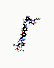 COC(=O)N[C@H](C(=O)N1CCC[C@H]1c1ncc(-c2ccc3c(c2)oc2cc(-c4cnc([C@@H]5[C@H]6CC[C@H](C6)N5C(=O)[C@@H](NC(=O)OC)C(C)C)[nH]4)ccc23)[nH]1)C(C)C